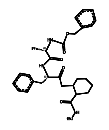 CC(C)[C@H](NC(=O)OCc1ccccc1)C(=O)N[C@@H](Cc1ccccc1)C(=O)CC1CCCCC1C(=O)NC(C)(C)C